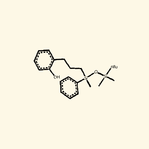 CCCC[Si](C)(C)O[Si](C)(CCCc1ccccc1O)c1ccccc1